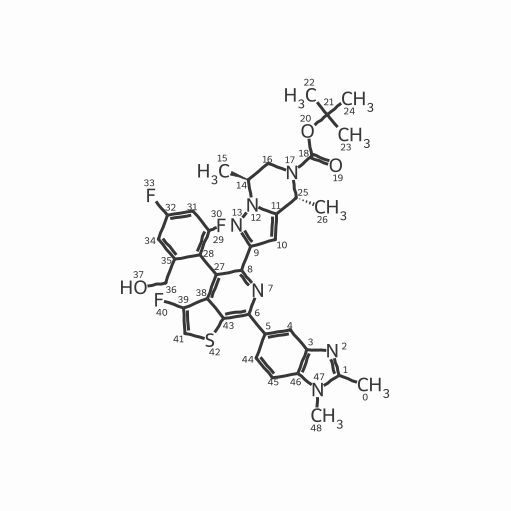 Cc1nc2cc(-c3nc(-c4cc5n(n4)[C@@H](C)CN(C(=O)OC(C)(C)C)[C@@H]5C)c(-c4c(F)cc(F)cc4CO)c4c(F)csc34)ccc2n1C